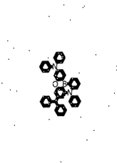 c1ccc(C(c2ccccc2)c2cc3c4c(c2)N(c2ccccc2)c2ccccc2B4c2ccc(N(c4ccccc4)c4ccccc4)cc2O3)cc1